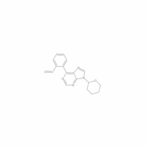 O=Cc1ccccc1-c1ncnc2c1ncn2C1CCCCO1